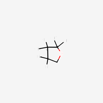 [2H]C1([2H])COC([2H])([2H])C1([2H])[2H]